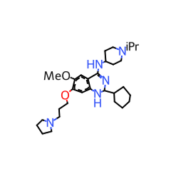 COc1cc2c(cc1OCCCN1CCCC1)NC(C1CCCCC1)N=C2NC1CCN(C(C)C)CC1